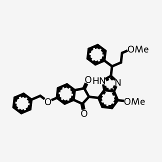 COCCC(c1ccccc1)c1nc2c(OC)ccc(C3C(=O)c4ccc(OCc5ccccc5)cc4C3=O)c2[nH]1